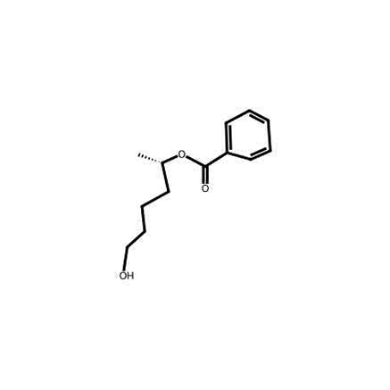 C[C@@H](CCCCO)OC(=O)c1ccccc1